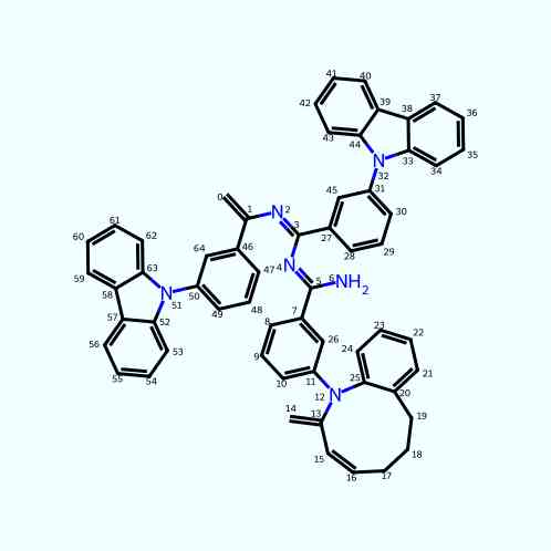 C=C(/N=C(\N=C(/N)c1cccc(N2C(=C)/C=C\CCCc3ccccc32)c1)c1cccc(-n2c3ccccc3c3ccccc32)c1)c1cccc(-n2c3ccccc3c3ccccc32)c1